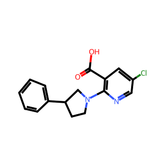 O=C(O)c1cc(Cl)cnc1N1CCC(c2ccccc2)C1